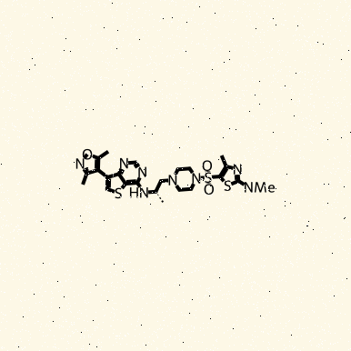 CNc1nc(C)c(S(=O)(=O)N2CCN(C[C@H](C)Nc3ncnc4c(-c5c(C)noc5C)csc34)CC2)s1